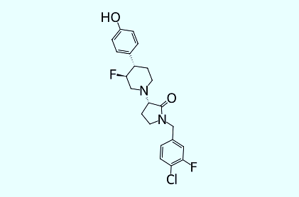 O=C1[C@@H](N2CC[C@@H](c3ccc(O)cc3)[C@H](F)C2)CCN1Cc1ccc(Cl)c(F)c1